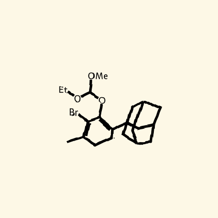 CCOC(OC)OC1=C(C23CC4CC(CC(C4)C2)C3)[CH]CC(C)=C1Br